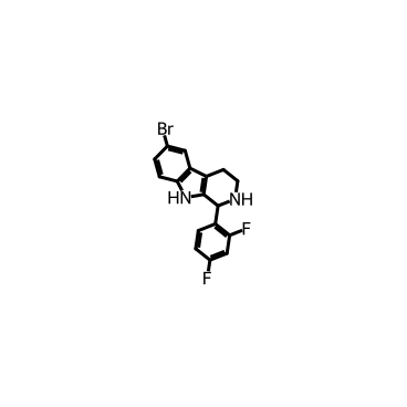 Fc1ccc(C2NCCc3c2[nH]c2ccc(Br)cc32)c(F)c1